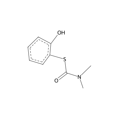 CN(C)C(=O)Sc1ccccc1O